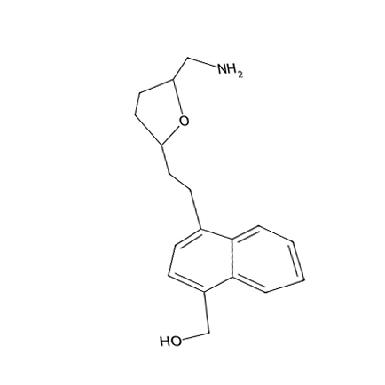 NCC1CCC(CCc2ccc(CO)c3ccccc23)O1